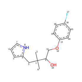 CC(C)(Cc1ccc[nH]1)C(O)COc1ccc(F)cc1